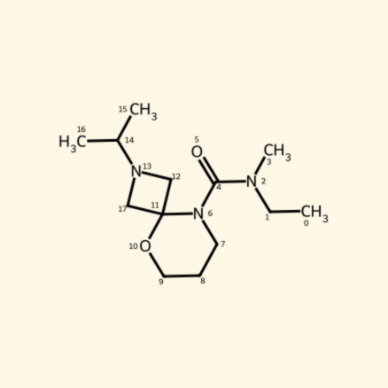 CCN(C)C(=O)N1CCCOC12CN(C(C)C)C2